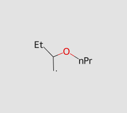 [CH2]C(CC)OCCC